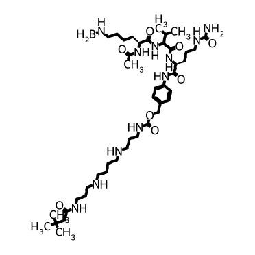 BNCCCC[C@H](NC(C)=O)C(=O)NC(C(=O)N[C@@H](CCCNC(N)=O)C(=O)Nc1ccc(COC(=O)NCCCNCCCCNCCCNC(=O)CC(C)(C)C)cc1)C(C)C